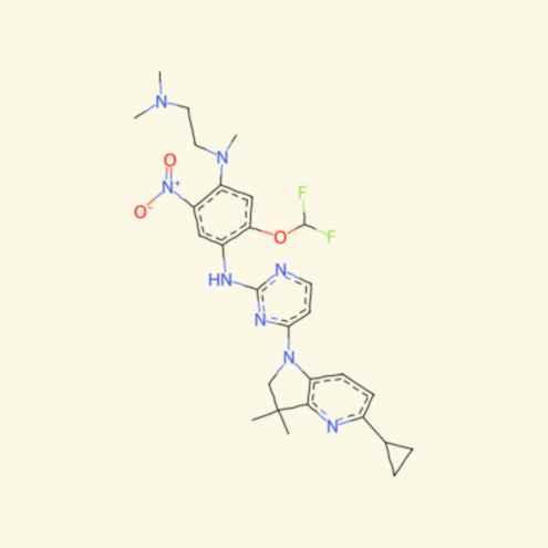 CN(C)CCN(C)c1cc(OC(F)F)c(Nc2nccc(N3CC(C)(C)c4nc(C5CC5)ccc43)n2)cc1[N+](=O)[O-]